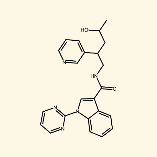 CC(O)CC(CNC(=O)c1cn(-c2ncccn2)c2ccccc12)c1cccnc1